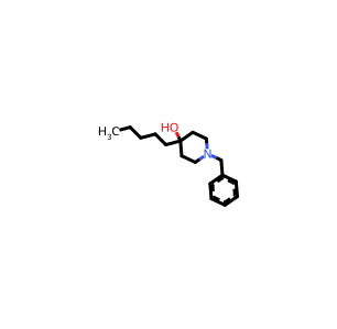 CCCCCC1(O)CCN(Cc2ccccc2)CC1